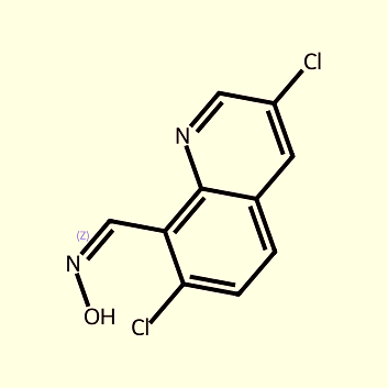 O/N=C\c1c(Cl)ccc2cc(Cl)cnc12